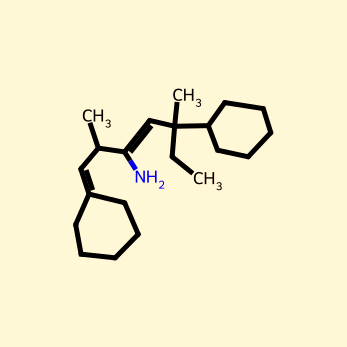 CCC(C)(/C=C(\N)C(C)C=C1CCCCC1)C1CCCCC1